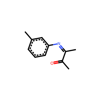 CC(=O)/C(C)=N\c1cccc(C)c1